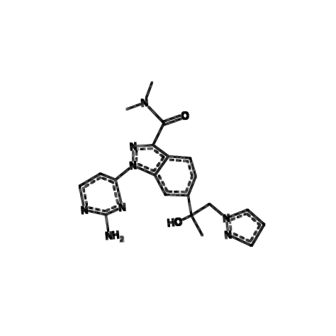 CN(C)C(=O)c1nn(-c2ccnc(N)n2)c2cc(C(C)(O)Cn3cccn3)ccc12